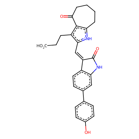 O=C(O)CCc1c(/C=C2\C(=O)Nc3cc(-c4ccc(O)cc4)ccc32)[nH]c2c1C(=O)CCCC2